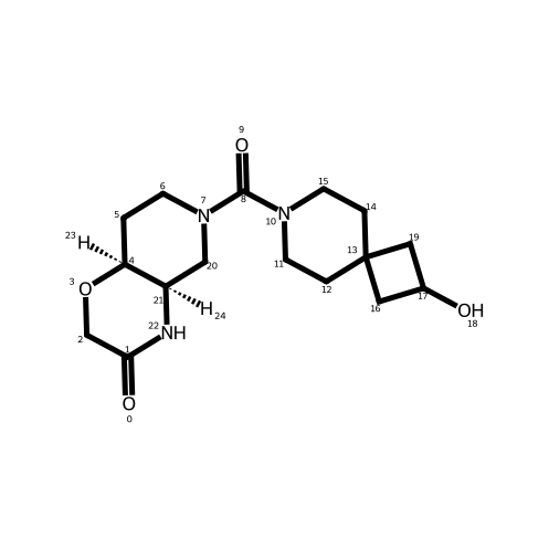 O=C1CO[C@H]2CCN(C(=O)N3CCC4(CC3)CC(O)C4)C[C@H]2N1